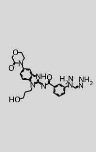 N/N=C\N(N)c1cccc(C(=O)/N=c2\[nH]c3cc(N4CCOCC4=O)ccc3n2CCCO)c1